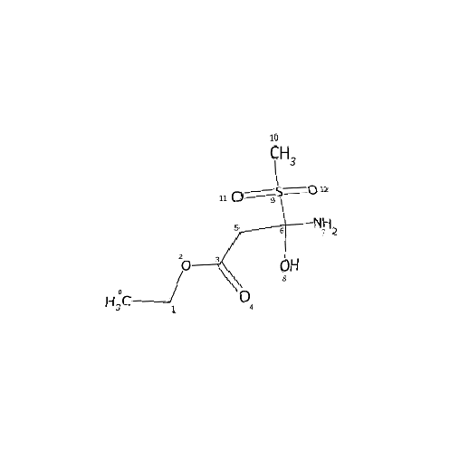 CCOC(=O)CC(N)(O)S(C)(=O)=O